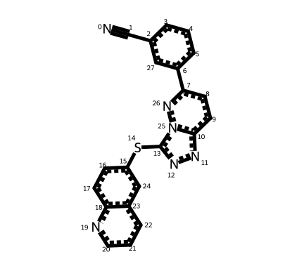 N#Cc1cccc(-c2ccc3nnc(Sc4ccc5ncccc5c4)n3n2)c1